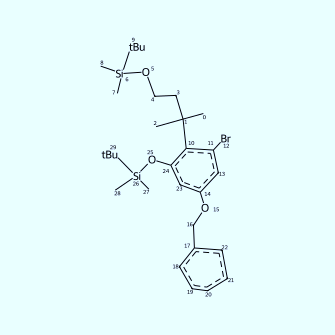 CC(C)(CCO[Si](C)(C)C(C)(C)C)c1c(Br)cc(OCc2ccccc2)cc1O[Si](C)(C)C(C)(C)C